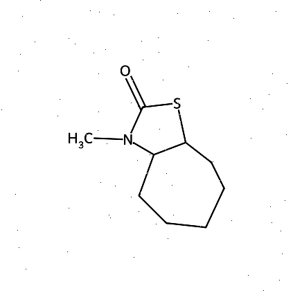 CN1C(=O)SC2CCCCCC21